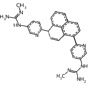 CN=C(N)Nc1ccc(-c2ccc3cccc4c3c2C=CC4c2ccc(NC(N)=NC)cn2)nc1